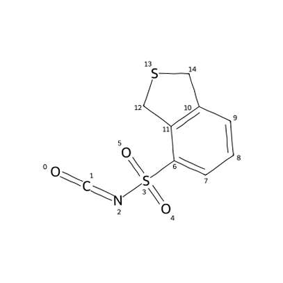 O=C=NS(=O)(=O)c1cccc2c1CSC2